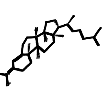 CC(C)CCC[C@@H](C)[C@H]1CC[C@H]2[C@@H]3CCC4=CC(=[N+](C)[O-])CC[C@]4(C)[C@H]3CC[C@]12C